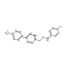 Cc1ccc(NCCC(=N)/C=C\C(=N)c2ccc(C(F)(F)F)cc2)cc1